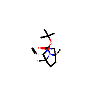 C=C[C@@H]1NC[C@@H]2CC[C@H]1N2C(=O)OC(C)(C)C